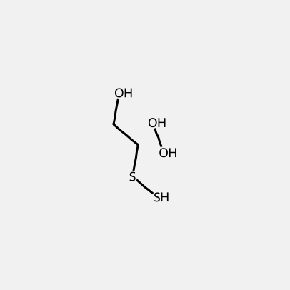 OCCSS.OO